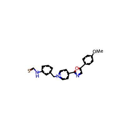 COc1ccc(-c2cnc(-c3cc[n+](Cc4cccc(NC=S)c4)cc3)o2)cc1